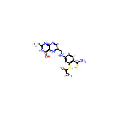 CC(=O)Sc1cc(NCc2cnc3nc(C)nc(O)c3n2)ccc1C(N)=S